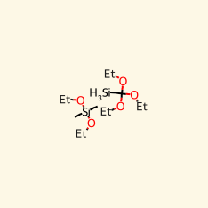 CCOC([SiH3])(OCC)OCC.CCO[Si](C)(C)OCC